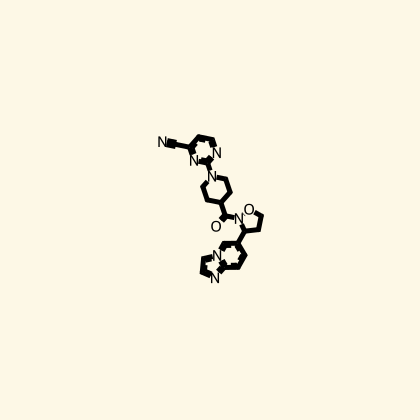 N#Cc1ccnc(N2CCC(C(=O)N3OCCC3c3ccc4nccn4c3)CC2)n1